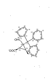 C[C@H]1[C@@H](C(=O)[O-])[N+]1([C]=O)C(c1ccccc1)(c1ccccc1)c1ccccc1